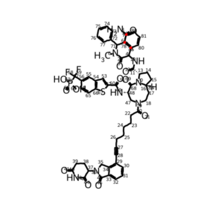 CN(C(=O)C(CCC(N)=O)NC(=O)[C@@H]1CC[C@@H]2CCN(C(=O)CCCCCC#Cc3cccc4c3CN(C3CCC(=O)NC3=O)C4=O)C[C@H](NC(=O)c3cc4cc(C(F)(F)P(=O)(O)O)ccc4s3)C(=O)N21)C(c1ccccc1)c1ccccc1